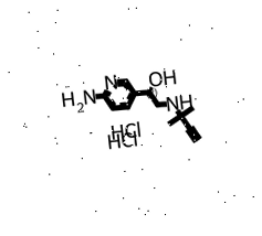 C#CC(C)(C)NC[C@H](O)c1ccc(N)nc1.Cl.Cl